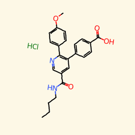 CCCCNC(=O)c1cnc(-c2ccc(OC)cc2)c(-c2ccc(C(=O)O)cc2)c1.Cl